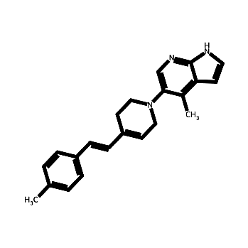 Cc1ccc(C=CC2=CCN(c3cnc4[nH]ccc4c3C)CC2)cc1